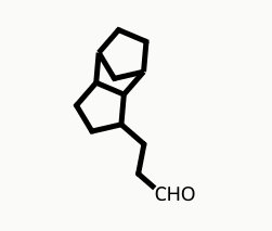 O=CCCC1CCC2C3CCC(C3)C12